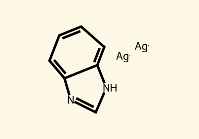 [Ag].[Ag].c1ccc2[nH]cnc2c1